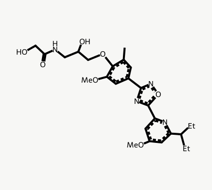 CCC(CC)c1cc(OC)cc(-c2nc(-c3cc(C)c(OCC(O)CNC(=O)CO)c(OC)c3)no2)n1